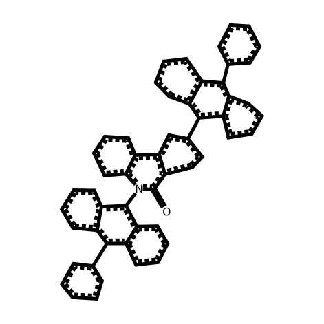 O=c1c2ccc(-c3c4ccccc4c(-c4ccccc4)c4ccccc34)cc2c2ccccc2n1-c1c2ccccc2c(-c2ccccc2)c2ccccc12